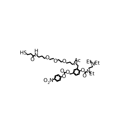 CCN(CC)CCN(CC)C(=O)Oc1ccc(COC(=O)Oc2ccc([N+](=O)[O-])cc2)cc1CN(CCCOCCOCCOCCCNC(=O)CCS)C(C)=O